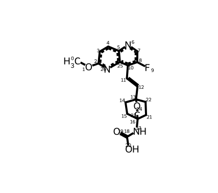 COc1ccc2ncc(F)c(C=CC34CCC(NC(=O)O)(CC3)CO4)c2n1